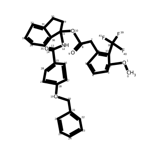 COc1cccc(CC(=O)OC2(NC(=O)c3ccc(OCc4ccccc4)cc3)CCc3ccccc32)c1C(F)(F)F